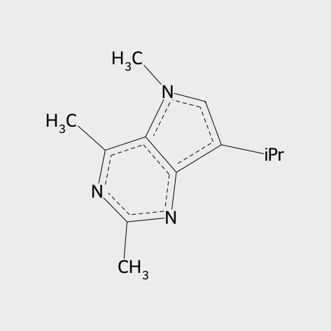 Cc1nc(C)c2c(n1)c(C(C)C)cn2C